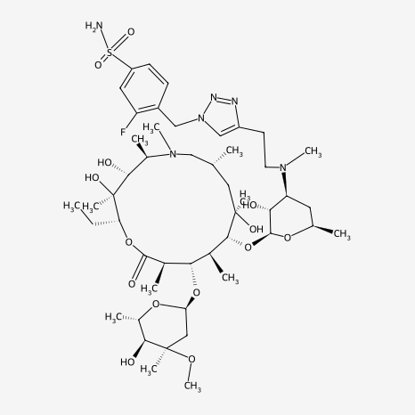 CC[C@H]1OC(=O)[C@H](C)[C@@H](O[C@H]2C[C@@](C)(OC)[C@@H](O)[C@H](C)O2)[C@H](C)[C@@H](O[C@@H]2O[C@H](C)C[C@H](N(C)CCc3cn(Cc4ccc(S(N)(=O)=O)cc4F)nn3)[C@H]2O)[C@](C)(O)C[C@@H](C)CN(C)[C@H](C)[C@@H](O)[C@]1(C)O